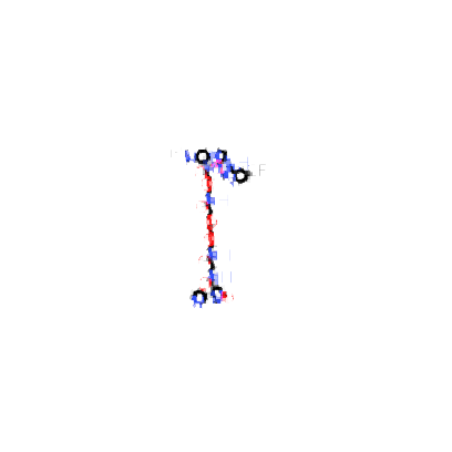 CC(C)N(C)[C@@H]1CC[C@H](N2CC[C@H](Nc3ncnc4ccc(C(F)(F)F)cc34)C2=O)[C@H](NC(=O)COCCNC(=O)CCOCCOCCNC(=O)CCNC(=O)[C@H]2CC(=O)N(C)[C@@H]2c2cccnc2)C1